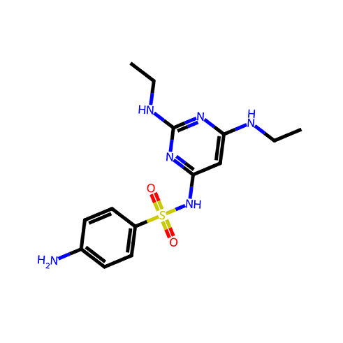 CCNc1cc(NS(=O)(=O)c2ccc(N)cc2)nc(NCC)n1